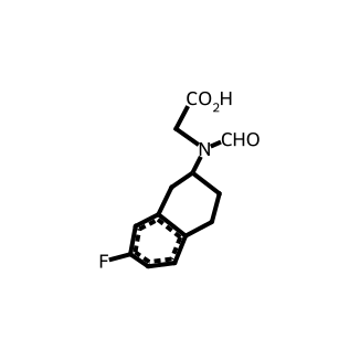 O=CN(CC(=O)O)C1CCc2ccc(F)cc2C1